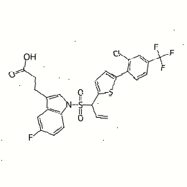 C=CC(c1ccc(-c2ccc(C(F)(F)F)cc2Cl)s1)S(=O)(=O)n1cc(CCC(=O)O)c2cc(F)ccc21